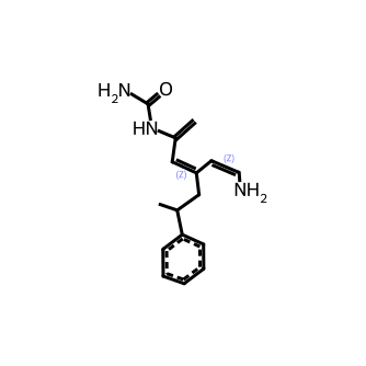 C=C(/C=C(\C=C/N)CC(C)c1ccccc1)NC(N)=O